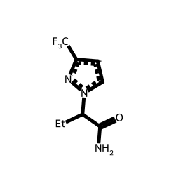 CCC(C(N)=O)n1c[c]c(C(F)(F)F)n1